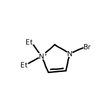 CC[N+]1(CC)C=CN(Br)C1